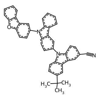 CC(C)(C)c1ccc2c(c1)c1cc(C#N)ccc1n2-c1ccc2c(c1)c1ccccc1n2-c1ccc2oc3ccccc3c2c1